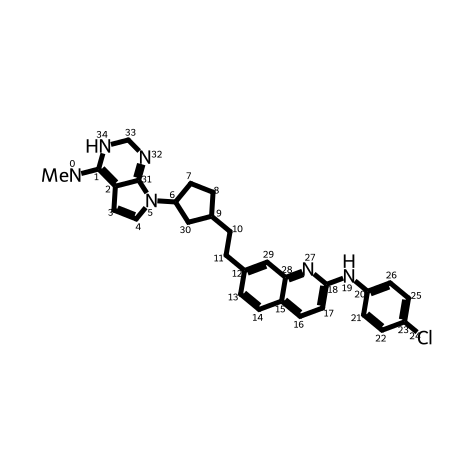 CNC1=c2ccn(C3CCC(CCc4ccc5ccc(Nc6ccc(Cl)cc6)nc5c4)C3)c2=NCN1